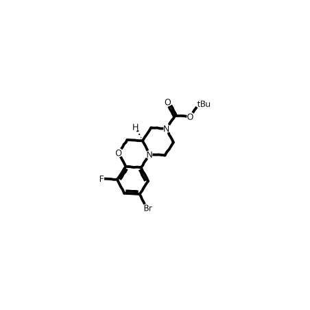 CC(C)(C)OC(=O)N1CCN2c3cc(Br)cc(F)c3OC[C@H]2C1